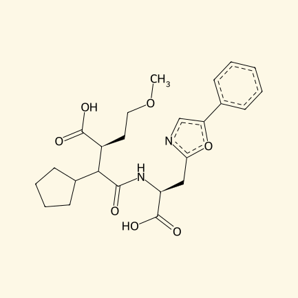 COCC[C@H](C(=O)O)C(C(=O)N[C@@H](Cc1ncc(-c2ccccc2)o1)C(=O)O)C1CCCC1